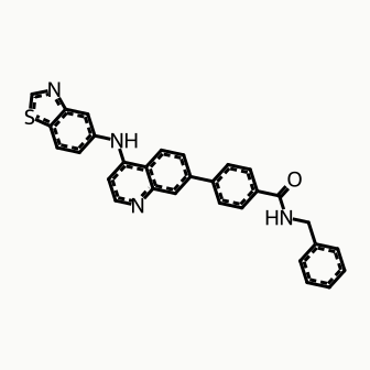 O=C(NCc1ccccc1)c1ccc(-c2ccc3c(Nc4ccc5scnc5c4)ccnc3c2)cc1